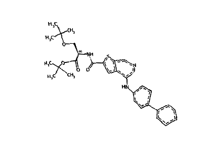 CC(C)(C)OC[C@@H](NC(=O)c1cc2c(Nc3ccc(-c4ccccc4)cc3)cncc2s1)C(=O)OC(C)(C)C